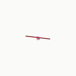 CCCCCCCCCCCCCCCCCCN(Br)CCCCCCCCCCCCCCCCCC